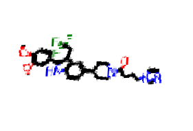 COc1ccc(-c2[nH]c3ccc(C4CCN(C(=O)CCCn5ccnc5)CC4)cc3c2CC(F)(F)F)cc1OC